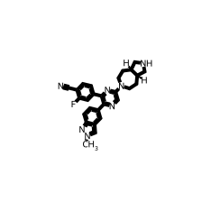 Cn1cc2cc(-c3ncc(N4CC[C@@H]5CNC[C@@H]5CC4)nc3-c3ccc(C#N)c(F)c3)ccc2n1